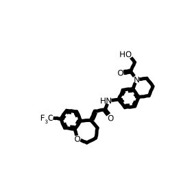 O=C(C=C1CCCOc2cc(C(F)(F)F)ccc21)Nc1ccc2c(c1)N(C(=O)CO)CCC2